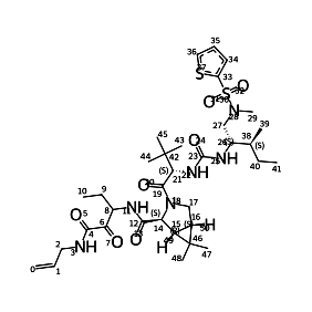 C=CCNC(=O)C(=O)C(CC)NC(=O)[C@@H]1[C@@H]2[C@H](CN1C(=O)[C@@H](NC(=O)N[C@H](CN(C)S(=O)(=O)c1cccs1)[C@@H](C)CC)C(C)(C)C)C2(C)C